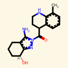 Cc1cccc2c1NCCC2C(=O)n1nc2c(c1N)CCC[C@H]2O